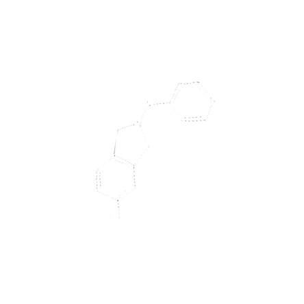 Fc1ccc2c(c1)CN(Nc1ccncc1)C2